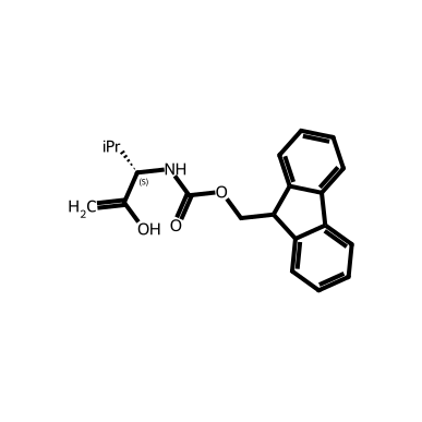 C=C(O)[C@@H](NC(=O)OCC1c2ccccc2-c2ccccc21)C(C)C